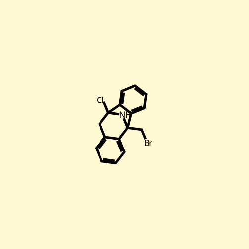 ClC12Cc3ccccc3C(CBr)(N1)c1ccccc12